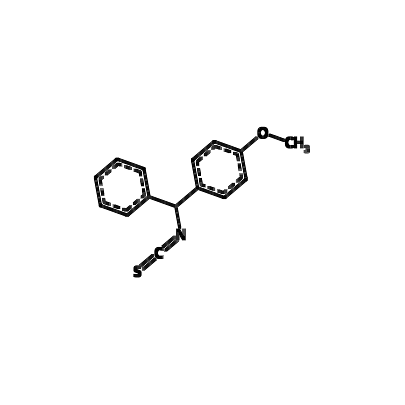 COc1ccc(C(N=C=S)c2ccccc2)cc1